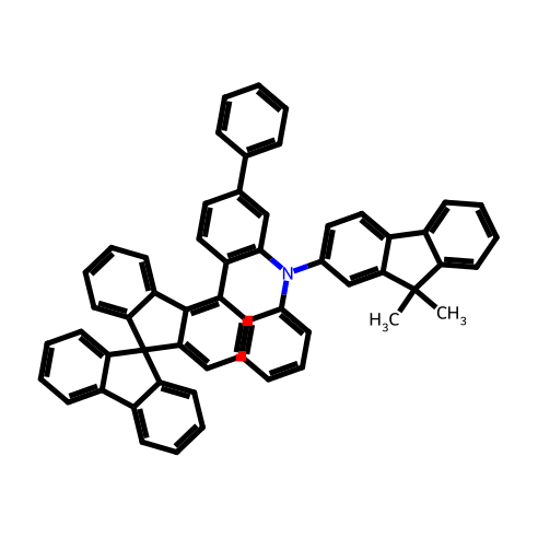 CC1(C)c2ccccc2-c2ccc(N(c3ccccc3)c3cc(-c4ccccc4)ccc3-c3cccc4c3-c3ccccc3C43c4ccccc4-c4ccccc43)cc21